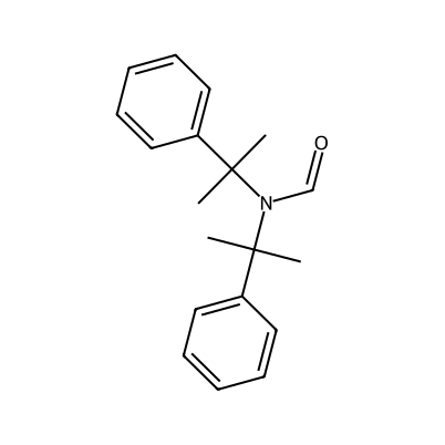 CC(C)(c1ccccc1)N(C=O)C(C)(C)c1ccccc1